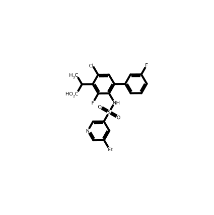 CCc1cncc(S(=O)(=O)Nc2c(-c3cccc(F)c3)cc(Cl)c(C(C)C(=O)O)c2F)c1